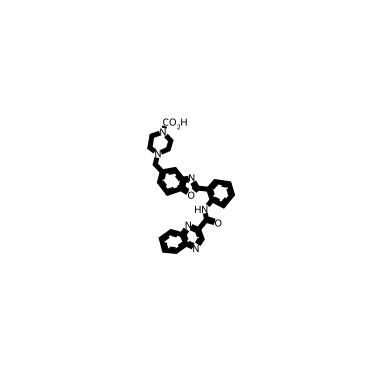 O=C(Nc1ccccc1-c1nc2cc(CN3CCN(C(=O)O)CC3)ccc2o1)c1cnc2ccccc2n1